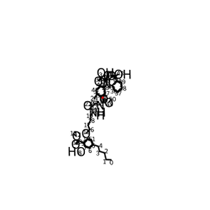 CCCCCc1cc(O)c(C(=O)OC)c(OCCCCNC(=O)[C@H](Cc2ccc(N(C(=O)C(=O)O)c3ccccc3C(=O)O)cc2)NC(=O)OC)c1